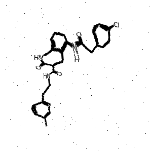 Cc1ccc(CCNC(=O)c2cc3c(NC(=O)Cc4ccc(Cl)cc4)cccc3[nH]c2=O)cc1